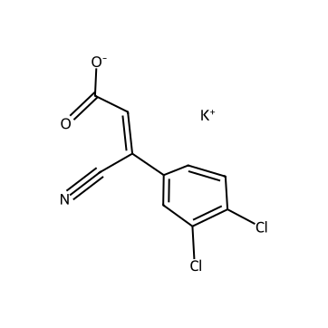 N#CC(=CC(=O)[O-])c1ccc(Cl)c(Cl)c1.[K+]